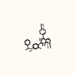 Cc1cc(OC(C)c2ccccc2)ccc1-c1nc(C2=CCNCC2)c2cc[nH]c2n1